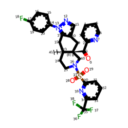 O=C(c1ccccn1)[C@]12Cc3cnn(-c4ccc(F)cc4)c3C[C@@H]1CCN(S(=O)(=O)c1cccc(C(F)(F)F)n1)C2